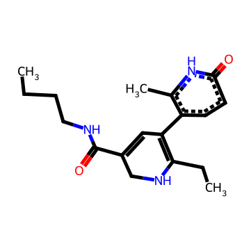 CCCCNC(=O)C1=CC(c2ccc(=O)[nH]c2C)=C(CC)NC1